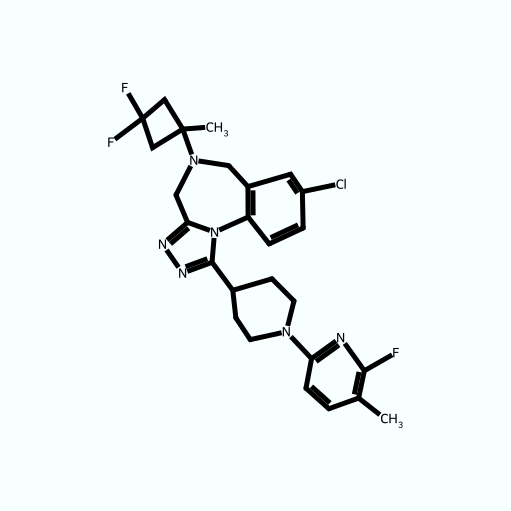 Cc1ccc(N2CCC(c3nnc4n3-c3ccc(Cl)cc3CN(C3(C)CC(F)(F)C3)C4)CC2)nc1F